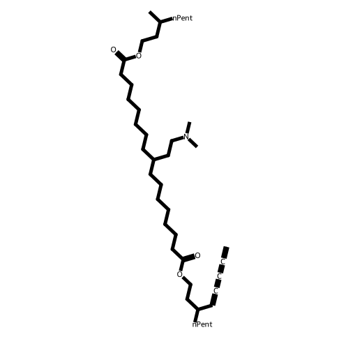 C=C=C=C=CC(CCCCC)CCOC(=O)CCCCCCCC(CCCCCCCC(=O)OCCC(C)CCCCC)CCN(C)C